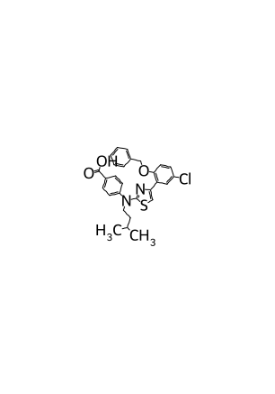 CC(C)CCN(c1ccc(C(=O)O)cc1)c1nc(-c2cc(Cl)ccc2OCc2ccccc2)cs1